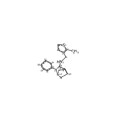 Cc1sccc1CNC1C2CCN(C2)C1c1ccccc1